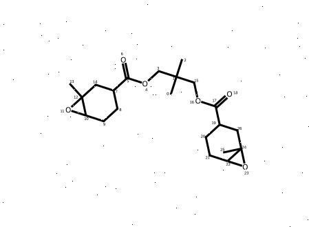 CC(C)(COC(=O)C1CCC2OC2(C)C1)COC(=O)C1CCC2OC2(C)C1